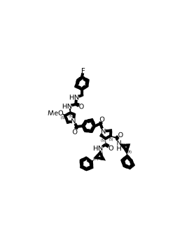 CO[C@H]1CN(C(=O)c2ccc(C(=O)N3C[C@@H](C(=O)N[C@H]4C[C@@H]4c4ccccc4)[C@H](C(=O)N[C@H]4C[C@@H]4c4ccccc4)C3)cc2)C[C@@H]1NC(=O)NCc1ccc(F)cc1